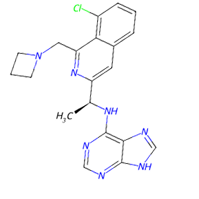 C[C@H](Nc1ncnc2[nH]cnc12)c1cc2cccc(Cl)c2c(CN2CCC2)n1